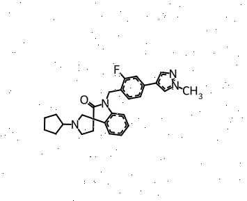 Cn1cc(-c2ccc(CN3C(=O)C4(CCN(C5CCCC5)C4)c4ccccc43)c(F)c2)cn1